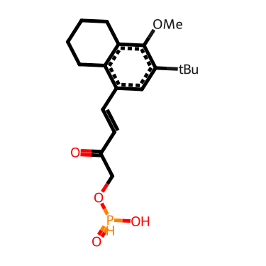 COc1c(C(C)(C)C)cc(C=CC(=O)CO[PH](=O)O)c2c1CCCC2